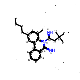 CCCCc1cc(C)c2c(c1)c1ccccc1c(=N)n2C(=N)CC(C)(C)C